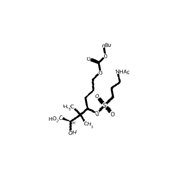 CCCCOC(=O)OCCCC(OS(=O)(=O)CCCNC(C)=O)C(C)(C)[C@@H](O)C(=O)O